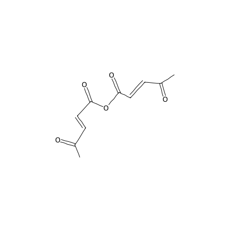 CC(=O)C=CC(=O)OC(=O)C=CC(C)=O